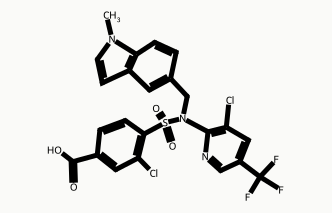 Cn1ccc2cc(CN(c3ncc(C(F)(F)F)cc3Cl)S(=O)(=O)c3ccc(C(=O)O)cc3Cl)ccc21